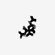 CC(C)OC(=O)CC(C(=O)OC(C)C)(C(C)C)C(C)C